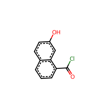 O=C(Cl)c1cccc2ccc(O)cc12